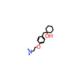 CN(C)CCOc1ccc(CC2(O)CCCCC2)cc1